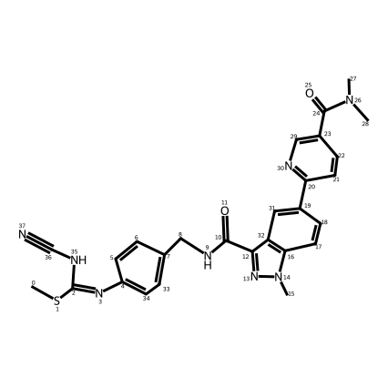 CS/C(=N/c1ccc(CNC(=O)c2nn(C)c3ccc(-c4ccc(C(=O)N(C)C)cn4)cc23)cc1)NC#N